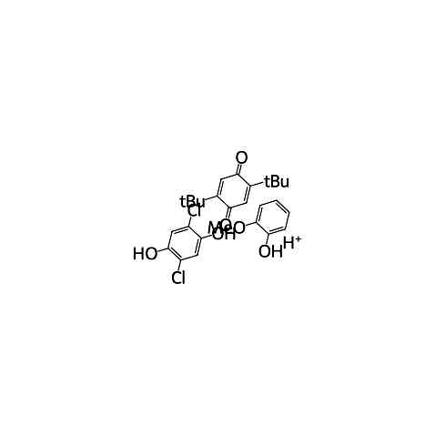 CC(C)(C)C1=CC(=O)C(C(C)(C)C)=CC1=O.COc1ccccc1O.Oc1cc(Cl)c(O)cc1Cl.[H+]